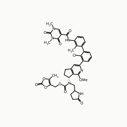 COc1nc(-c2cccc(-c3cccc(NC(=O)c4cn(C)c(=O)n(C)c4=O)c3C)c2Cl)cc2c1[C@H](N(CC1CCC(=O)N1)C(=O)OCc1oc(=O)oc1C)CC2